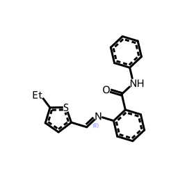 CCc1ccc(/C=N/c2ccccc2C(=O)Nc2ccccc2)s1